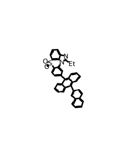 CCc1nc2cccc3c2n1-c1cc(-c2c4ccccc4c(-c4ccc5ccccc5c4)c4ccccc24)ccc1S3(=O)=O